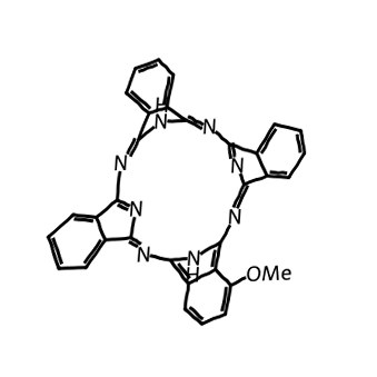 COc1cccc2c3nc4nc(nc5[nH]c(nc6nc(nc([nH]3)c12)-c1ccccc1-6)c1ccccc51)-c1ccccc1-4